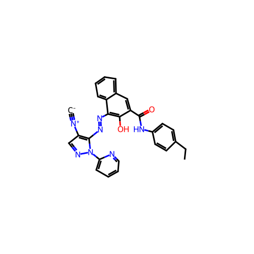 [C-]#[N+]c1cnn(-c2ccccn2)c1/N=N/c1c(O)c(C(=O)Nc2ccc(CC)cc2)cc2ccccc12